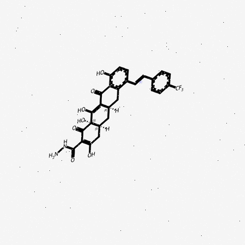 NNC(=O)C1=C(O)C[C@@H]2C[C@@H]3Cc4c(/C=C/c5ccc(C(F)(F)F)cc5)ccc(O)c4C(=O)C3=C(O)[C@]2(O)C1=O